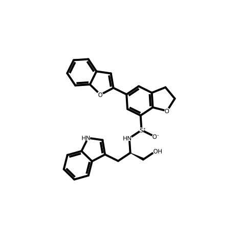 [O-][S+](N[C@@H](CO)Cc1c[nH]c2ccccc12)c1cc(-c2cc3ccccc3o2)cc2c1OCC2